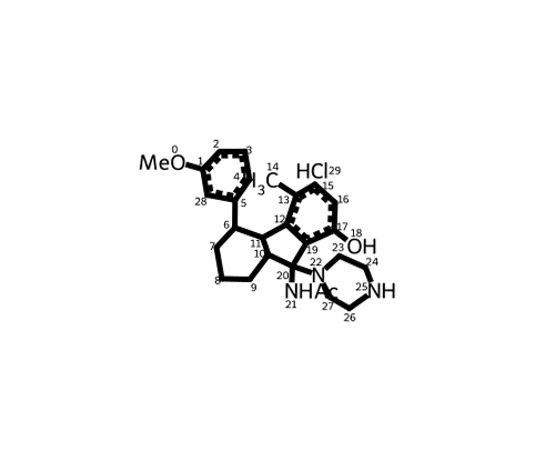 COc1cccc(C2CCCC3C2c2c(C)ccc(O)c2C3(NC(C)=O)N2CCNCC2)c1.Cl